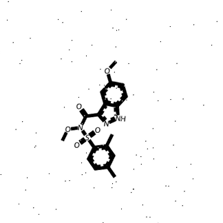 COc1ccc2[nH]nc(C(=O)N(OC)S(=O)(=O)c3ccc(C)cc3C)c2c1